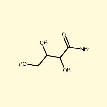 [NH]C(=O)C(O)C(O)CO